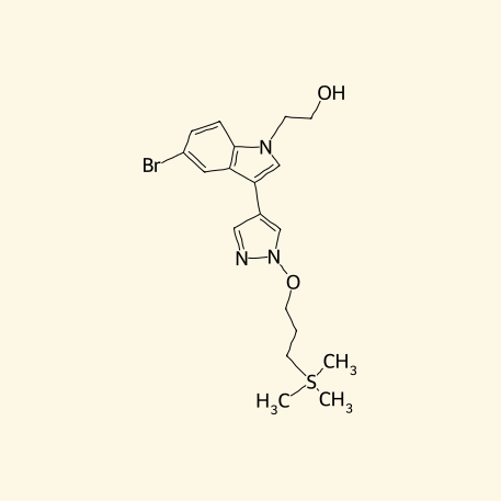 CS(C)(C)CCCOn1cc(-c2cn(CCO)c3ccc(Br)cc23)cn1